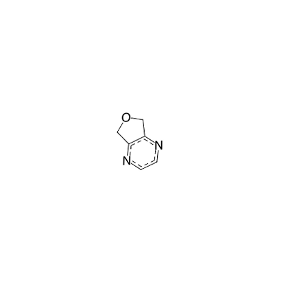 c1cnc2c(n1)COC2